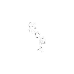 Cc1ccc(-c2cnco2)cc1-c1ccc(NC(=O)c2c(F)cccc2F)cc1